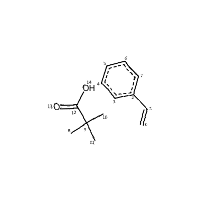 C=Cc1ccccc1.CC(C)(C)C(=O)O